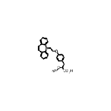 CCCOC(Cc1ccc(OCCN2c3ccccc3CCc3ccccc32)cc1)C(=O)O